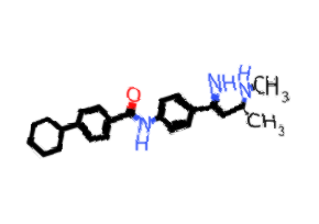 CN[C@H](C)CC(=N)c1ccc(NC(=O)c2ccc(C3CCCCC3)cc2)cc1